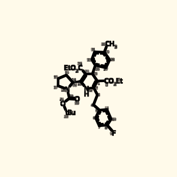 CCOC(=O)C1=C(CCc2ccc(F)cc2)NC([C@@H]2CCCN2C(=O)OC(C)(C)C)=C(C(=O)OCC)C1c1ccc(C)cc1